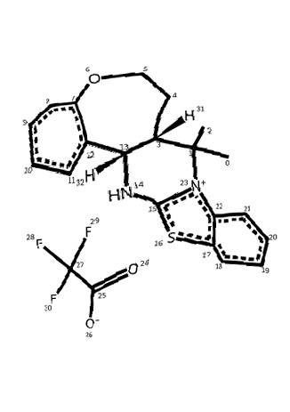 CC1(C)[C@H]2CCOc3ccccc3[C@H]2Nc2sc3ccccc3[n+]21.O=C([O-])C(F)(F)F